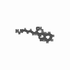 C[C@H](CCCCN)c1cnc2ccccc2c1